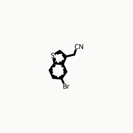 N#CCc1csc2ccc(Br)cc12